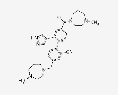 CN1CCCN(Cc2ccc(-c3ccc(C(=O)N4CCCN(C)CC4)cc3-c3cn[nH]c3)c(C#N)c2)CC1